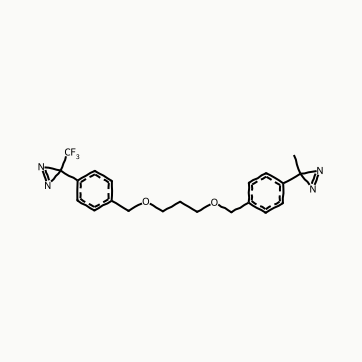 CC1(c2ccc(COCCCOCc3ccc(C4(C(F)(F)F)N=N4)cc3)cc2)N=N1